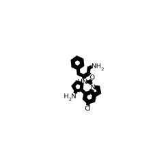 NCC1=C(Cc2ccccc2)NC(n2ccc3cc(Cl)cc(C4CCCC4N)c32)O1